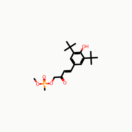 COP(C)(=O)OCC(=O)C=Cc1cc(C(C)(C)C)c(O)c(C(C)(C)C)c1